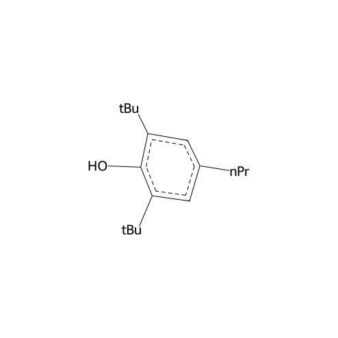 C[CH]Cc1cc(C(C)(C)C)c(O)c(C(C)(C)C)c1